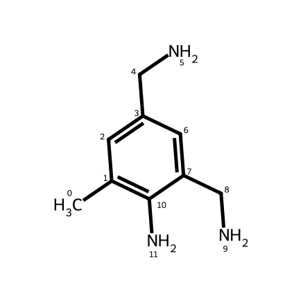 Cc1cc(CN)cc(CN)c1N